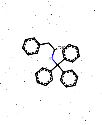 O=C[C@H](Cc1ccccc1)NC(c1ccccc1)(c1ccccc1)c1ccccc1